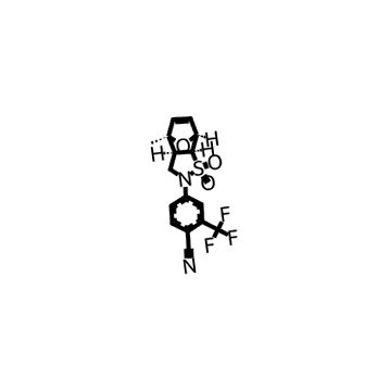 C[C@]12C=C[C@H](O1)[C@@H]1[C@H]2CN(c2ccc(C#N)c(C(F)(F)F)c2)S1(=O)=O